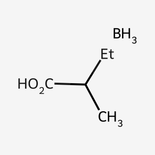 B.CCC(C)C(=O)O